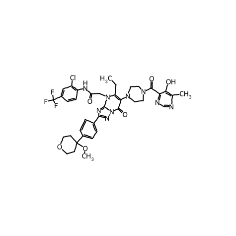 CCc1c(N2CCN(C(=O)c3ncnc(C)c3O)CC2)c(=O)n2nc(-c3ccc(C4(OC)CCOCC4)cc3)nc2n1CC(=O)Nc1ccc(C(F)(F)F)cc1Cl